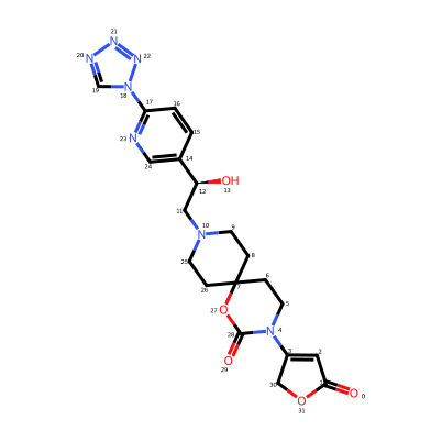 O=C1C=C(N2CCC3(CCN(C[C@H](O)c4ccc(-n5cnnn5)nc4)CC3)OC2=O)CO1